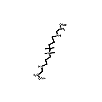 CO[SiH2]CNCCCC(C)(C)[Si](C)(C)CCCNC[SiH2]OC